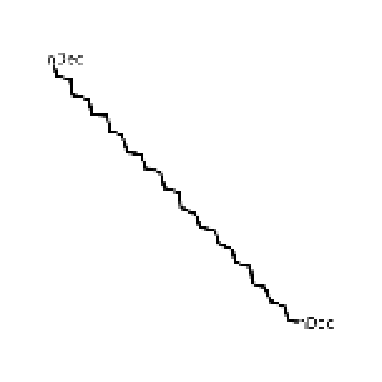 CCCCCCCCCCCCCCCCCCC[CH]CCCCCCCCCCCCCCCCCCCCCCCCCCC